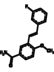 COc1ccc(C(N)=O)cc1C=Cc1cccc(F)c1